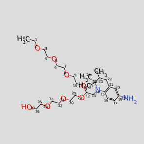 CCOCCOCCOCCOC(CN1c2ccc(N)cc2CC(C)C1(C)C)OCCOCCOCCO